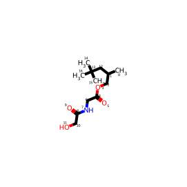 CC(COC(=O)CNC(=O)CO)CC(C)(C)C